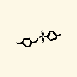 Cc1ccc(S(=O)(=O)OCc2ccc(Br)cc2)cc1